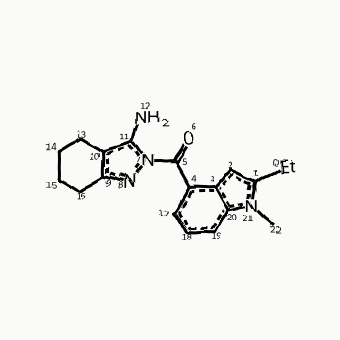 CCc1cc2c(C(=O)n3nc4c(c3N)CCCC4)cccc2n1C